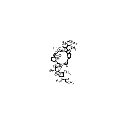 C=CC(=O)N(C)[C@@H]1C[C@@H](C)N(C(=O)N(C)[C@H](C(=O)N[C@H]2Cc3nc(cs3)-c3ccc4c(c3)c(c(/C(C=C)=C(/N=C\C)[C@H](C)OC)n4CC)CC(C)(C)COC[C@@]3(C=O)CCCN(N3)C2=O)C(C)C)C1